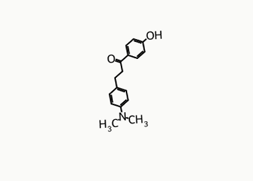 CN(C)c1ccc(CCC(=O)c2ccc(O)cc2)cc1